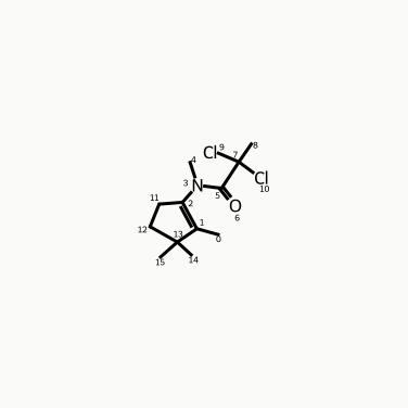 CC1=C(N(C)C(=O)C(C)(Cl)Cl)CCC1(C)C